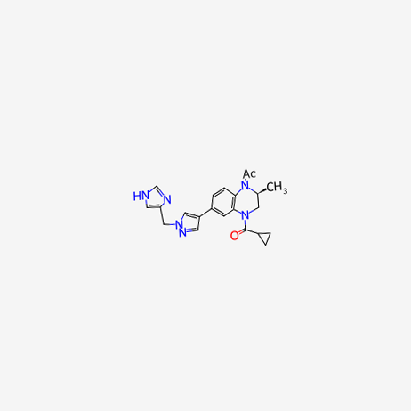 CC(=O)N1c2ccc(-c3cnn(Cc4c[nH]cn4)c3)cc2N(C(=O)C2CC2)C[C@@H]1C